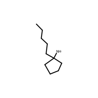 CCCCCC1([NH])CCCC1